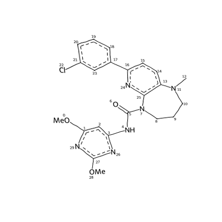 COc1cc(NC(=O)N2CCCN(C)c3ccc(-c4cccc(Cl)c4)nc32)nc(OC)n1